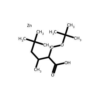 CC(CC(C)(C)C)C(OOC(C)(C)C)C(=O)O.[Zn]